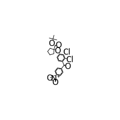 CC(C)(C)OC(=O)C1(Oc2ccc(C(=O)c3ccc([N+](=O)[O-])cc3)c(Cl)c2Cl)CCCC1